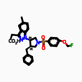 Cc1ccc2c(c1)c(CC(=O)O)nn2[C@H]1CN(S(=O)(=O)c2ccc(OCF)cc2)C[C@H]1Cc1ccccc1